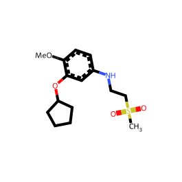 COc1ccc(NCCS(C)(=O)=O)cc1OC1CCCC1